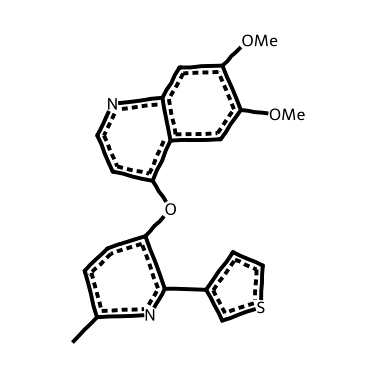 COc1cc2nccc(Oc3ccc(C)nc3-c3ccsc3)c2cc1OC